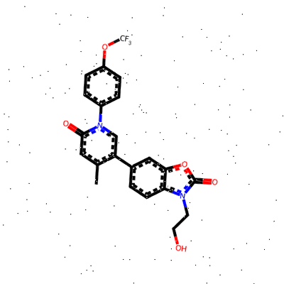 Cc1cc(=O)n(-c2ccc(OC(F)(F)F)cc2)cc1-c1ccc2c(c1)oc(=O)n2CCO